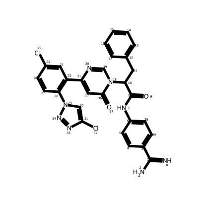 N=C(N)c1ccc(NC(=O)C(Cc2ccccc2)n2cnc(-c3cc(Cl)ccc3-n3cc(Cl)nn3)cc2=O)cc1